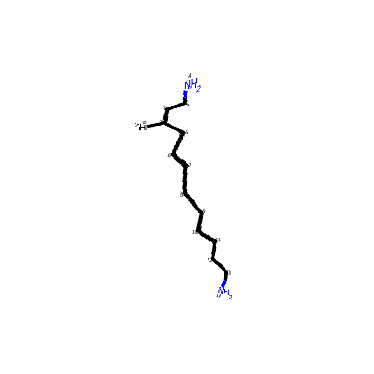 [2H]C(CCN)CCCCCCCCCN